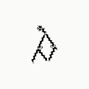 C=CCCCCCCC(CCCCCCCC)OC(=O)CCCCCCCN(CCCCCCCC(=O)OC(C)CCCCCCCC)CCCn1ccnc1